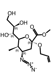 C=CCO[C@]1(C(=O)OC)C[C@@H](N=[N+]=[N-])[C@@H](C)C([C@H](O)[C@H](O)CO)O1